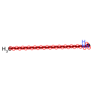 COCCOCCOCCOCCOCCOCCOCCOCCOCCOCCOCCOCCOCCOCCOCCOCCOCCOCCOCCOCCOCCOCCOCCOCCNC(=O)CCN1C(=O)C=CC1=O